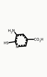 Nc1cc(C(=O)O)cnc1S